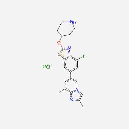 Cc1cn2cc(-c3cc(F)c4nc(OC5CCNCC5)sc4c3)cc(C)c2n1.Cl